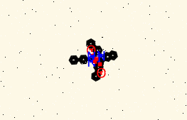 c1ccc(-c2ccc(-c3nc(-c4ccc5oc6ccccc6c5c4)nc(-c4c(-n5c6ccccc6c6cc7ccccc7cc65)ccc5c4oc4ccccc45)n3)cc2)cc1